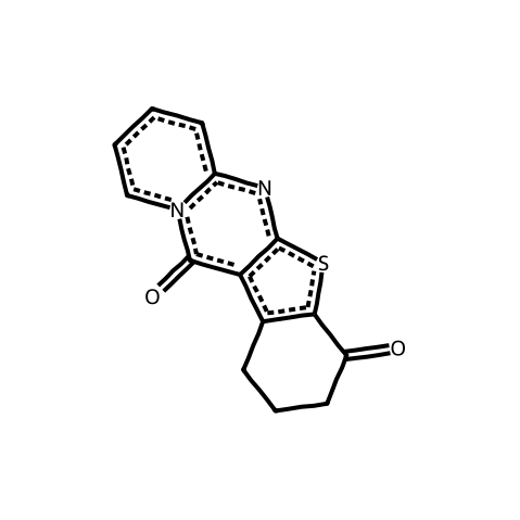 O=C1CCCc2c1sc1nc3ccccn3c(=O)c21